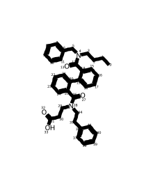 CCCCN(Cc1ccccc1)C(=O)c1ccccc1-c1ccccc1C(=O)N(CCC(=O)O)CCc1ccccc1